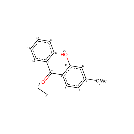 CC.COc1ccc(C(=O)c2ccccc2)c(O)c1